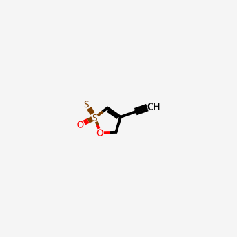 C#CC1=CS(=O)(=S)OC1